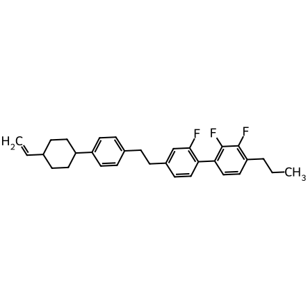 C=CC1CCC(c2ccc(CCc3ccc(-c4ccc(CCC)c(F)c4F)c(F)c3)cc2)CC1